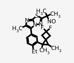 CCc1ccc(-c2c(C)nc3sc(C(C)(C)N=O)nn23)cc1C1(C)C(C)C12CC(F)(F)C2